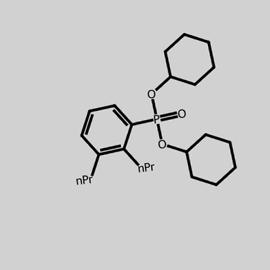 CCCc1cccc(P(=O)(OC2CCCCC2)OC2CCCCC2)c1CCC